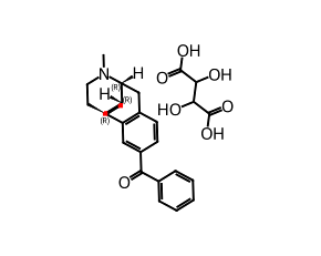 CN1CC[C@]23CCCC[C@H]2[C@H]1Cc1ccc(C(=O)c2ccccc2)cc13.O=C(O)C(O)C(O)C(=O)O